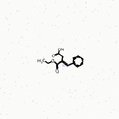 CCOC(=O)/C(=C/c1ccccc1)CC(=O)O